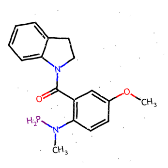 COc1ccc(N(C)P)c(C(=O)N2CCc3ccccc32)c1